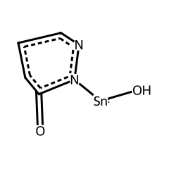 O=c1cccn[n]1[Sn][OH]